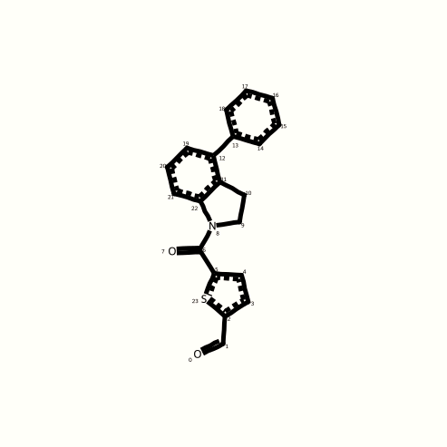 O=Cc1ccc(C(=O)N2CCc3c(-c4ccccc4)cccc32)s1